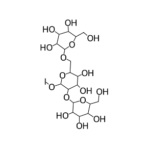 OCC1OC(OCC2OC(OI)C(OC3OC(CO)C(O)C(O)C3O)C(O)C2O)C(O)C(O)C1O